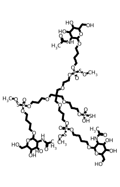 COSP(=O)(OCCCCOC1OC(CO)C(O)C(O)C1NC(C)=O)OCCCOCC(COCCCOP(=O)(O)S)(COCCCOP(=O)(OCCCCOC1OC(CO)C(O)C(O)C1NC(C)=O)SOC)COCCOP(=O)(OCCCCOC1OC(CO)C(O)C(O)C1NC(C)=O)SOC